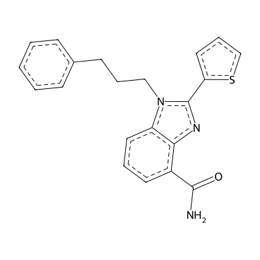 NC(=O)c1cccc2c1nc(-c1cccs1)n2CCCc1ccccc1